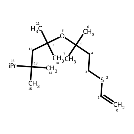 C=CSCCC(C)(C)OC(C)(C)CC(C)(C)C(C)C